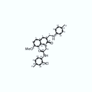 COc1ccc2cc(CNc3ccc(C)cc3)c(=O)n(CC(=O)Nc3ccc(C)cc3Cl)c2c1